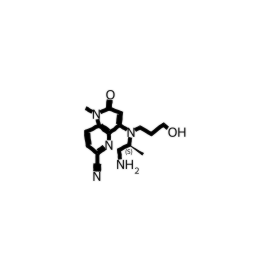 C[C@@H](CN)N(CCCO)c1cc(=O)n(C)c2ccc(C#N)nc12